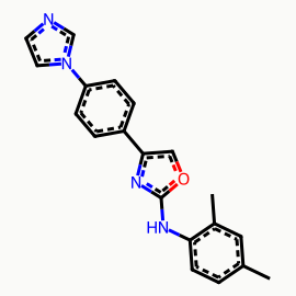 Cc1ccc(Nc2nc(-c3ccc(-n4ccnc4)cc3)co2)c(C)c1